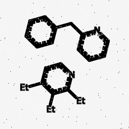 CCc1ccnc(CC)c1CC.c1ccc(Cc2ccccn2)cc1